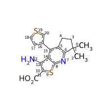 CC1(C)CCc2c1nc1sc(C(=O)O)c(N)c1c2-c1ccsc1